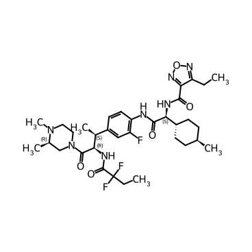 CCc1nonc1C(=O)N[C@H](C(=O)Nc1ccc([C@H](C)[C@@H](NC(=O)C(F)(F)CC)C(=O)N2CCN(C)[C@H](C)C2)cc1F)[C@H]1CC[C@H](C)CC1